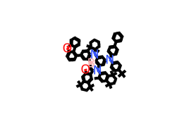 Cc1cc2c(cc1N1c3cc(N(c4ccc(-c5ccccc5)cc4)c4ccc(C(C)(C)C)cc4)cc4c3B(c3cc(-c5cccc6oc7ccccc7c56)cc5c3N4C3(C)CCCCC53C)c3oc4cc5c(cc4c31)C(C)(C)CCC5(C)C)C(C)(C)CCC2(C)C